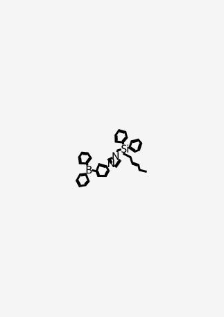 CCC=CCC[Si](Cn1ccnc1)(c1ccccc1)c1ccccc1.c1ccc(B(c2ccccc2)c2ccccc2)cc1